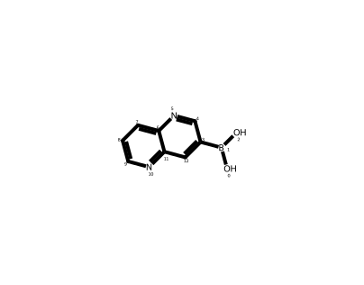 OB(O)c1cnc2cccnc2c1